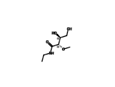 CCNC(=O)[C@@H](OC)[C@@H](O)CO